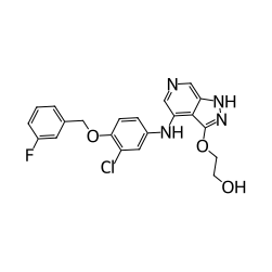 OCCOc1n[nH]c2cncc(Nc3ccc(OCc4cccc(F)c4)c(Cl)c3)c12